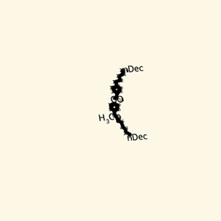 CCCCCCCCCCCCCCCCOC(C)c1ccc(OC(=O)c2ccc(CCCCCCCCCCCCCCC)cc2)cc1